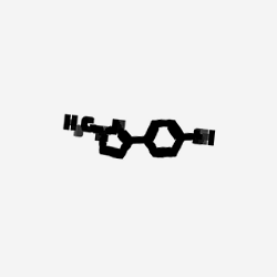 Cn1ccc(-c2ccc(S)cc2)n1